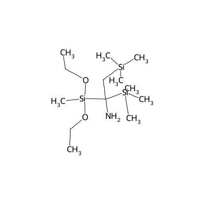 CCO[Si](C)(OCC)C(N)(C[Si](C)(C)C)[Si](C)(C)C